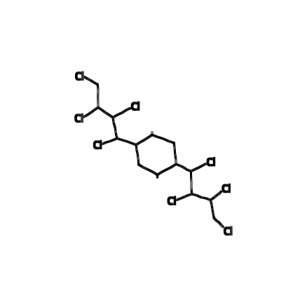 ClCC(Cl)C(Cl)C(Cl)C1[CH]CC(C(Cl)C(Cl)C(Cl)CCl)[CH]C1